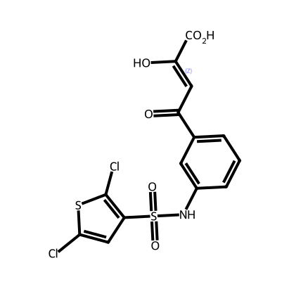 O=C(O)/C(O)=C/C(=O)c1cccc(NS(=O)(=O)c2cc(Cl)sc2Cl)c1